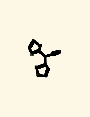 N#CC(c1ccon1)c1ncco1